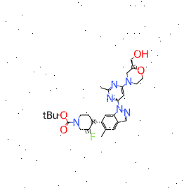 Cc1nc(N2CCO[C@H](CO)C2)cc(-n2ncc3cc(C)c([C@H]4CCN(C(=O)OC(C)(C)C)C[C@H]4F)cc32)n1